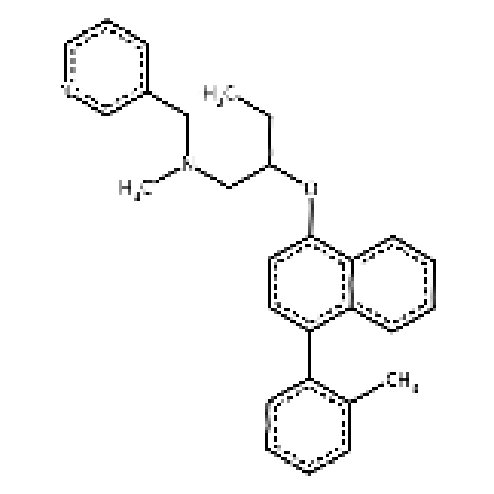 [CH2]CC(CN(C)Cc1cccnc1)Oc1ccc(-c2ccccc2C)c2ccccc12